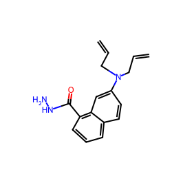 C=CCN(CC=C)c1ccc2cccc(C(=O)NN)c2c1